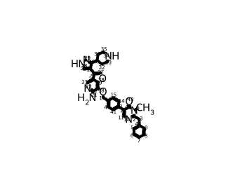 Cn1c(Cc2ccccc2)ncc(-c2ccc(COc3c(N)ncc4c(-c5c[nH]nc5C5CCNCC5)coc34)cc2)c1=O